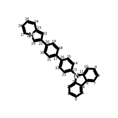 c1ccc2c(c1)c1ccccc1n2-c1ccc(-c2ccc(-c3cc4ccccn4c3)cc2)cc1